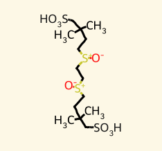 CC(C)(CC[S+]([O-])CC[S+]([O-])CCC(C)(C)CS(=O)(=O)O)CS(=O)(=O)O